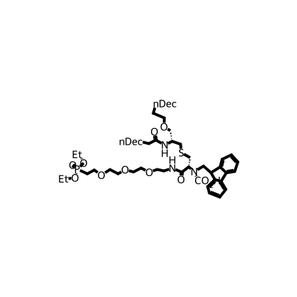 CCCCCCCCCCCCOC[C@H](CSC[C@@H](C(=O)NCCOCCOCCOCCP(=O)(OCC)OCC)N(CC1c2ccccc2-c2ccccc21)C(=O)O)NC(=O)CCCCCCCCCCC